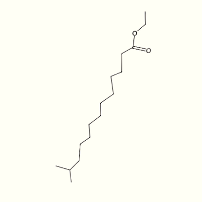 CCOC(=O)CCCCCCCCCCC(C)C